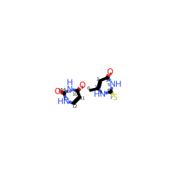 Cc1cc(=O)[nH]c(=S)[nH]1.O=c1cc[nH]c(=O)[nH]1